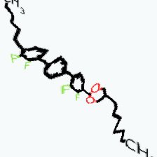 CCCCCCCC1COC(c2ccc(-c3ccc(-c4ccc(CCCCCC)c(F)c4F)cc3)c(F)c2F)OC1